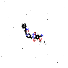 CCOc1cc(C(=O)NCC2CCN(Cc3cc(-c4ccccc4)no3)CC2)c(N=O)cc1C#N